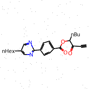 C#CC(=O)C(CCCC)OC(=O)c1ccc(-c2ncc(CCCCCC)cn2)cc1